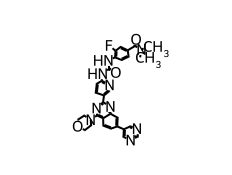 CN(C)C(=O)c1ccc(NC(=O)Nc2ccc(-c3nc(N4CCOCC4)c4ccc(-c5cncnc5)cc4n3)cn2)c(F)c1